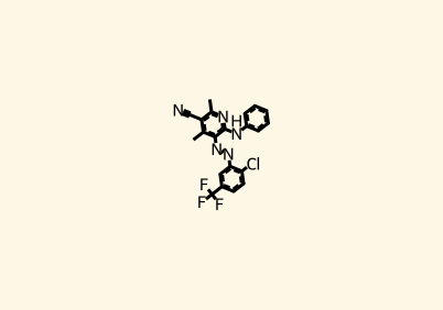 Cc1nc(Nc2ccccc2)c(N=Nc2cc(C(F)(F)F)ccc2Cl)c(C)c1C#N